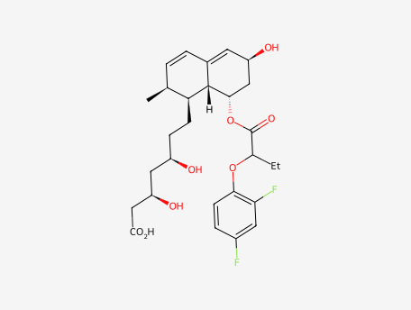 CCC(Oc1ccc(F)cc1F)C(=O)O[C@H]1C[C@H](O)C=C2C=C[C@H](C)[C@H](CC[C@@H](O)C[C@@H](O)CC(=O)O)[C@H]21